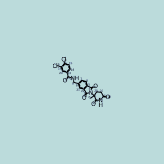 CC1(N2C(=O)c3ccc(CNC(=O)c4ccc(Cl)c(Cl)c4)cc3C2=O)CCC(=O)NC1=O